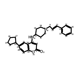 O=c1cc(NC2CCN(C/C=C/c3ccccc3)CC2)c2cc(C3CCCC3)ccc2o1